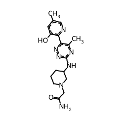 Cc1cnc(-c2nnc(NC3CCCN(CC(N)=O)C3)nc2C)c(O)c1